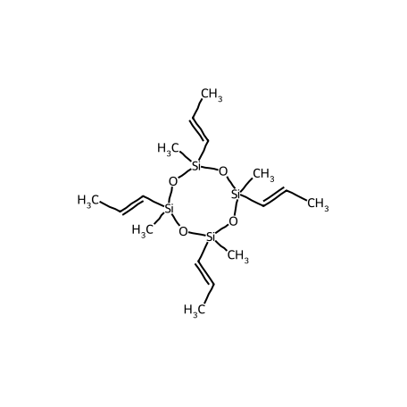 CC=C[Si]1(C)O[Si](C)(C=CC)O[Si](C)(C=CC)O[Si](C)(C=CC)O1